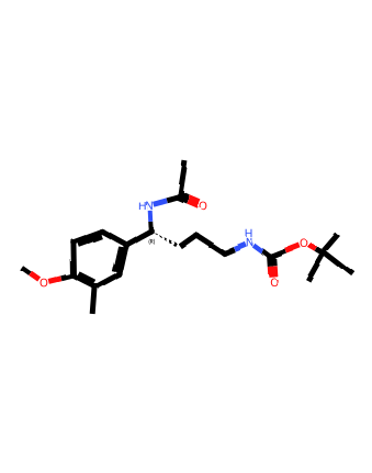 COc1ccc([C@@H](CCCNC(=O)OC(C)(C)C)NC(C)=O)cc1C